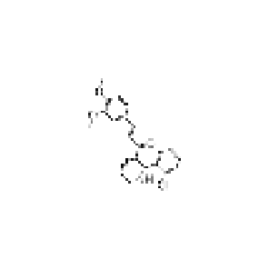 COc1ccc(C=CC(=O)C2OCCNC2c2ccccc2Cl)cc1OC